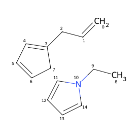 C=CCC1=CC=CC1.CCn1cccc1